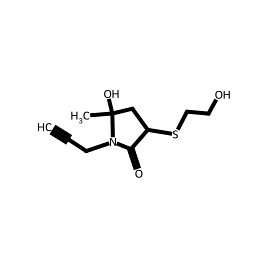 C#CCN1C(=O)C(SCCO)CC1(C)O